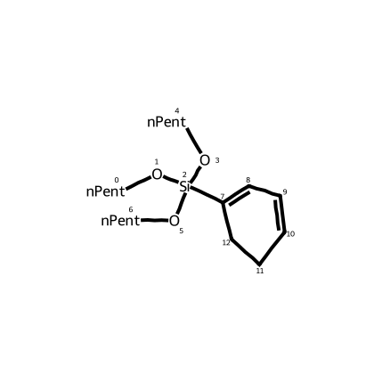 CCCCCO[Si](OCCCCC)(OCCCCC)C1=CC=CCC1